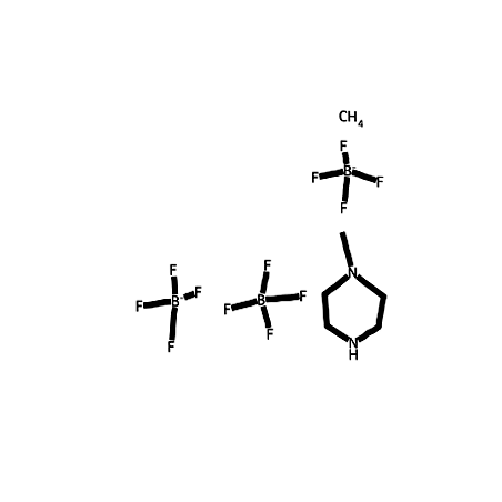 C.CN1CCNCC1.F[B-](F)(F)F.F[B-](F)(F)F.F[B-](F)(F)F